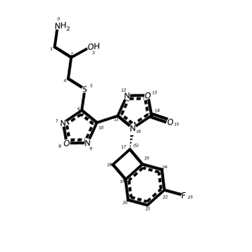 NCC(O)CSc1nonc1-c1noc(=O)n1[C@H]1Cc2ccc(F)cc21